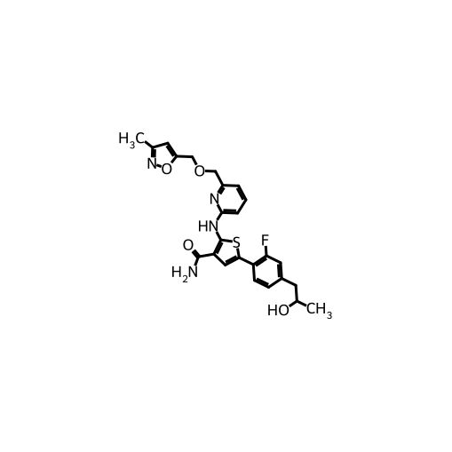 Cc1cc(COCc2cccc(Nc3sc(-c4ccc(CC(C)O)cc4F)cc3C(N)=O)n2)on1